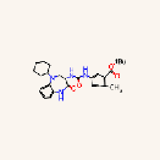 Cc1ccc(NC(=O)N[C@@H]2CN(C3CCCCC3)c3ccccc3NC2=O)cc1C(=O)OC(C)(C)C